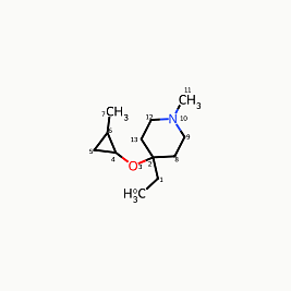 CCC1(OC2CC2C)CCN(C)CC1